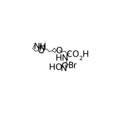 O=C(O)[C@H](CCOC1CC(CCc2ccc3c(n2)NCCC3)C1)NCc1cc(O)ncc1Br